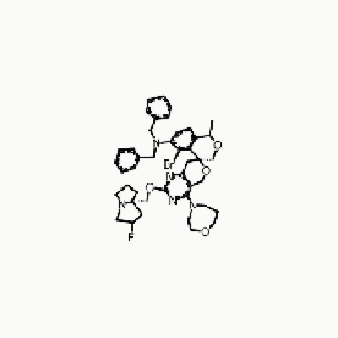 C[C@H]1OC[C@]2(Cc3nc(OC[C@@]45CCCN4C[C@H](F)C5)nc(N4CCCOCC4)c3CO2)c2c1ccc(N(Cc1ccccc1)Cc1ccccc1)c2Br